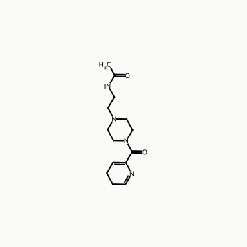 CC(=O)NCCN1CCN(C(=O)C2=CCCC=N2)CC1